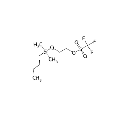 CCCC[Si](C)(C)OCCOS(=O)(=O)C(F)(F)F